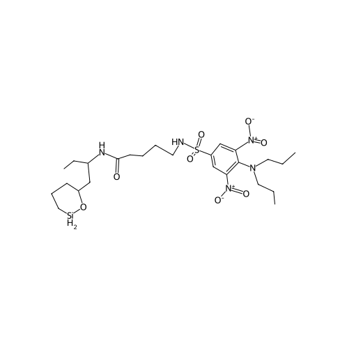 CCCN(CCC)c1c([N+](=O)[O-])cc(S(=O)(=O)NCCCCC(=O)NC(CC)CC2CCC[SiH2]O2)cc1[N+](=O)[O-]